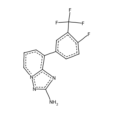 Nc1nc2c(-c3ccc(F)c(C(F)(F)F)c3)cccn2n1